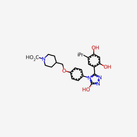 CC(C)c1cc(-c2nnc(O)n2-c2ccc(OCC3CCN(C(=O)O)CC3)cc2)c(O)cc1O